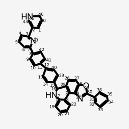 C1=CC(c2cccc(-c3ccc(-c4ccc(C5Nc6ccccc6-c6c5ccc5oc(-c7ccccc7)nc65)cc4)cc3)n2)=CNC1